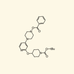 CC(C)(C)OC(=O)N1CCC(Oc2cc(N3CCN(OC(=O)c4ccccc4)CC3)ccn2)CC1